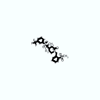 CC(C)(C1CCN(Cc2ccccc2S(C)(=O)=O)C(=O)C1)S(=O)(=O)c1cccc(C(F)(F)F)c1